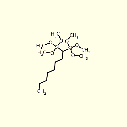 CCCCCCCC([Si](OC)(OC)OC)[Si](OC)(OC)OC